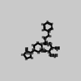 O=C(O)C(O)C(O)C(=O)O.c1ccc(COC[C@H]2CC[C@H]([C@H]3CCCN3)CC2)cc1